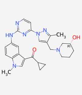 Cc1nn(-c2ccnc(Nc3ccc4c(c3)c(C(=O)C3CC3)cn4C)n2)cc1CN1CCC[C@@H](O)C1